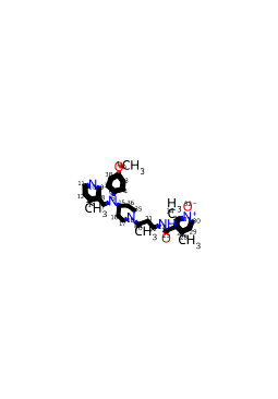 COc1ccc(N(Cc2cnccc2C)C2CCN([C@H](C)CCNC(=O)c3c(C)cc[n+]([O-])c3C)CC2)cc1